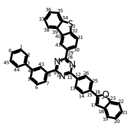 c1ccc(-c2cccc(-c3nc(-c4ccc(-c5cc6ccccc6o5)cc4)nc(-c4ccc5sc6ccccc6c5c4)n3)c2)cc1